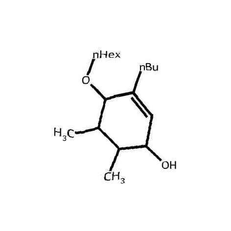 CCCCCCOC1C(CCCC)=CC(O)C(C)C1C